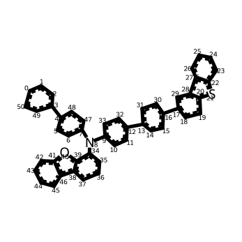 c1ccc(-c2ccc(N(c3ccc(-c4ccc(-c5ccc6sc7ccccc7c6c5)cc4)cc3)c3cccc4c3oc3ccccc34)cc2)cc1